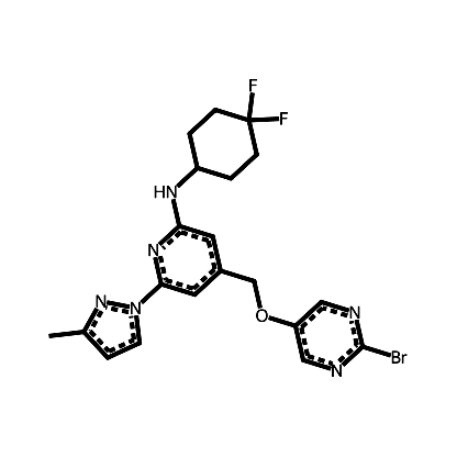 Cc1ccn(-c2cc(COc3cnc(Br)nc3)cc(NC3CCC(F)(F)CC3)n2)n1